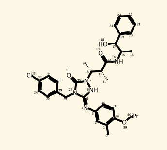 Cc1cc(/N=c2\[nH]n([C@H](C)[C@@H](C)C(=O)N[C@H](C)[C@@H](O)c3ccccc3)c(=O)n2Cc2ccc(Cl)cc2)ccc1OC(C)C